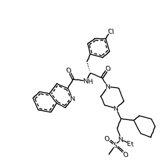 CCN(CC(C1CCCCC1)N1CCN(C(=O)[C@@H](Cc2ccc(Cl)cc2)NC(=O)c2cc3ccccc3cn2)CC1)S(C)(=O)=O